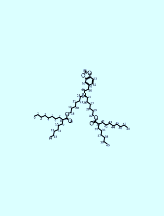 CCCCCCCCC(CCCCCC)C(=O)OCCCCCCN(CCCCCCOC(=O)C(CCCCCC)CCCCCCCC)CCc1ccc2c(c1)OCO2